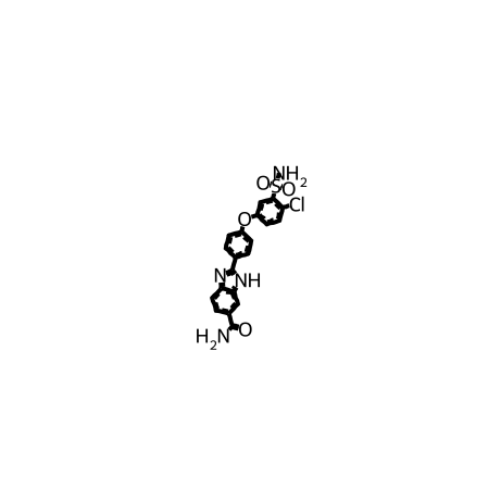 NC(=O)c1ccc2nc(-c3ccc(Oc4ccc(Cl)c(S(N)(=O)=O)c4)cc3)[nH]c2c1